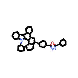 c1ccc(-c2nnc(-c3ccc(-c4cc5c6ccccc6c6c7ccccc7n(-c7ccccc7)c6c5c5ccccc45)cc3)o2)cc1